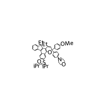 CCC1(CC)c2ccccc2-c2c1c1c(c3cc4c(cc23)OC(C(C)C)(C(C)C)S4)OC(c2ccc(OC)cc2)(c2ccc(N3CCOCC3)cc2)C=C1